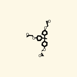 CC(c1ccc(OCC2CO2)cc1)(c1ccc(OCC2CO2)cc1)c1ccc(OC[C@@H]2CO2)cc1